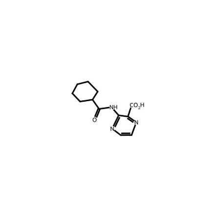 O=C(O)c1nccnc1NC(=O)C1CCCCC1